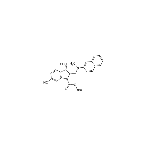 CN(CC1C(C(=O)O)c2ccc(C#N)cc2N1C(=O)OC(C)(C)C)c1ccc2ccccc2c1